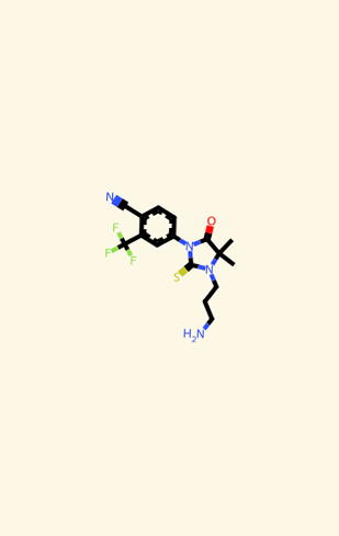 CC1(C)C(=O)N(c2ccc(C#N)c(C(F)(F)F)c2)C(=S)N1CCCN